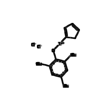 CC(C)(C)c1cc(C(C)(C)C)c([O][Ti+2][C]2=CC=CC2)c(C(C)(C)C)c1.[Cl-].[Cl-]